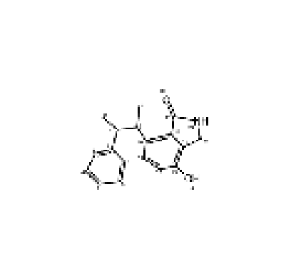 CC(c1ccccc1)C(I)c1ccc(O)c2c1C(=O)NC2